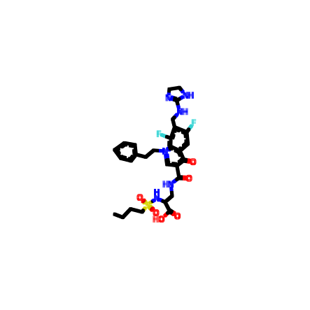 CCCCS(=O)(=O)NC(CNC(=O)c1cn(CCc2ccccc2)c2c(F)c(CNC3=NCCN3)c(F)cc2c1=O)C(=O)O